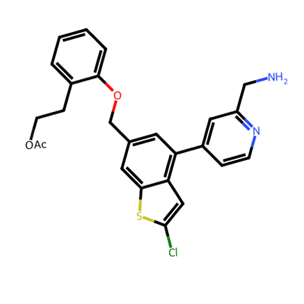 CC(=O)OCCc1ccccc1OCc1cc(-c2ccnc(CN)c2)c2cc(Cl)sc2c1